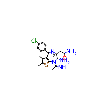 CC(=N)N1c2sc(C)c(C)c2C(c2ccc(Cl)cc2)=N[C@@H](CC(N)=O)C1N